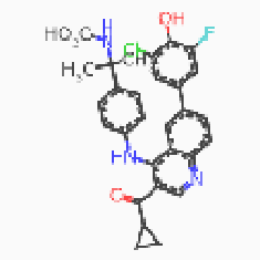 CC(C)(NC(=O)O)c1ccc(Nc2c(C(=O)C3CC3)cnc3ccc(-c4cc(F)c(O)c(Cl)c4)cc23)cc1